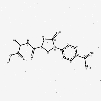 COC(=O)[C@@H](C)NC(=O)C1CN(c2ccc(C(=N)N)cc2)C(=O)O1